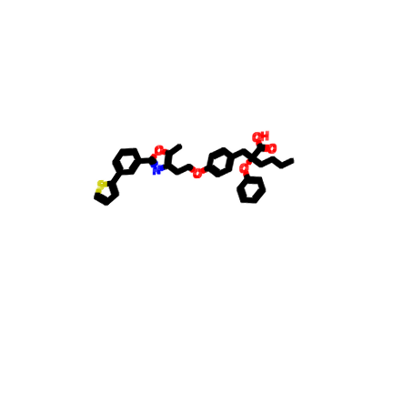 CCCCC(Cc1ccc(OCCc2nc(-c3cccc(-c4cccs4)c3)oc2C)cc1)(Oc1ccccc1)C(=O)O